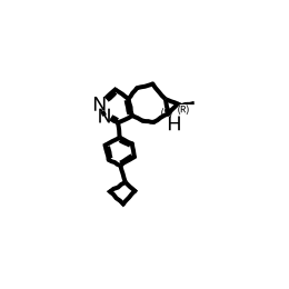 C[C@@H]1C2CCc3cnnc(-c4ccc(C5CCC5)cc4)c3CC[C@H]21